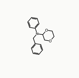 c1ccc(CN(c2ccccc2)C2COCCO2)cc1